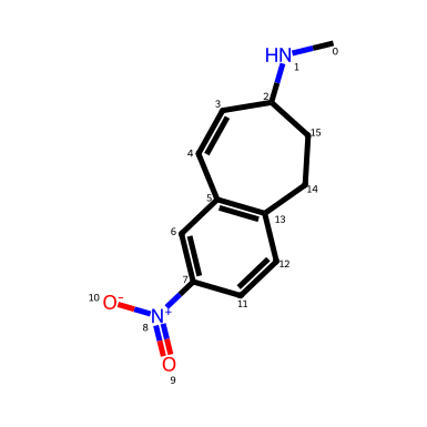 CNC1C=Cc2cc([N+](=O)[O-])ccc2CC1